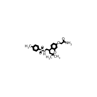 Cc1ccc(S(=O)(=O)NCC2CC(C)(C)Oc3cc(OCC(N)=O)ccc32)cc1